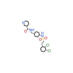 O=C(NCc1ccc(NS(=O)(=O)CCc2cccc(Cl)c2Cl)cc1)c1cccnc1